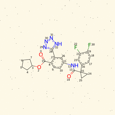 O=C(OC1CCCC1)c1ccc(NC(=O)C2(c3ccc(F)c(F)c3)CC2)cc1-c1nnn[nH]1